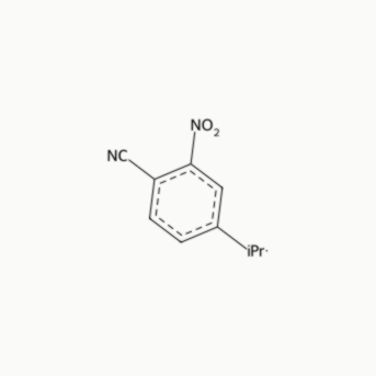 C[C](C)c1ccc(C#N)c([N+](=O)[O-])c1